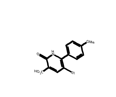 CCc1cc(C(=O)O)c(=O)[nH]c1-c1ccc(OC)cc1